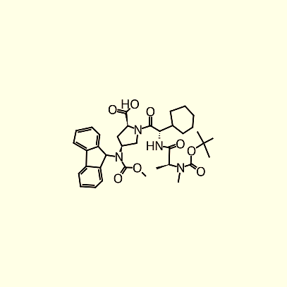 COC(=O)N(C1c2ccccc2-c2ccccc21)[C@H]1C[C@@H](C(=O)O)N(C(=O)[C@@H](NC(=O)[C@H](C)N(C)C(=O)OC(C)(C)C)C2CCCCC2)C1